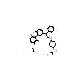 COCCOc1ccc(C#N)c(-c2cc(C(CNC3CCC(NC(=O)OC(C)(C)C)CC3)c3ccccc3)ccc2C(F)(F)F)c1F